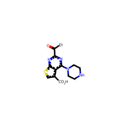 CCC(=O)c1nc(N2CCNCC2)c2c(C(=O)O)csc2n1